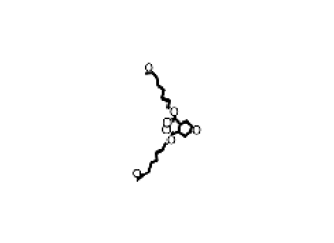 O=C(OCC=CCCCC1CO1)C1CC2OC2CC1C(=O)OCC=CCCCC1CO1